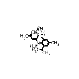 C=C(C)/C=C(\CSC)N(C)c1c(C)cc(C)cc1C(=C)C